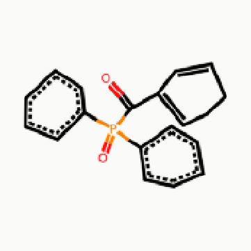 O=C(C1=CCCC=C1)P(=O)(c1ccccc1)c1ccccc1